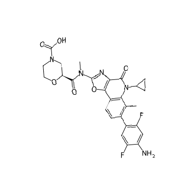 Cc1c(-c2cc(F)c(N)cc2F)ccc2c3oc(N(C)C(=O)[C@@H]4CN(C(=O)O)CCO4)nc3c(=O)n(C3CC3)c12